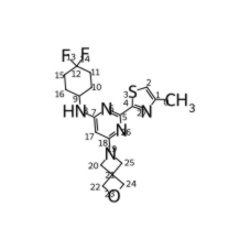 Cc1csc(-c2nc(NC3CCC(F)(F)CC3)cc(N3CC4(COC4)C3)n2)n1